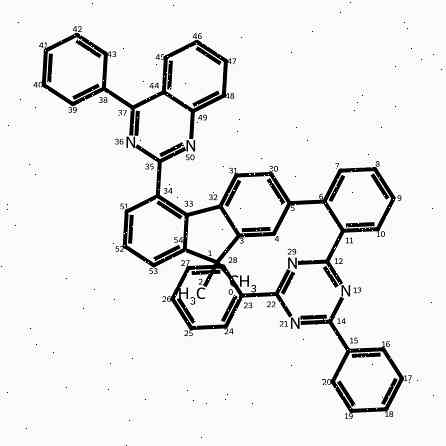 CC1(C)c2cc(-c3ccccc3-c3nc(-c4ccccc4)nc(-c4ccccc4)n3)ccc2-c2c(-c3nc(-c4ccccc4)c4ccccc4n3)cccc21